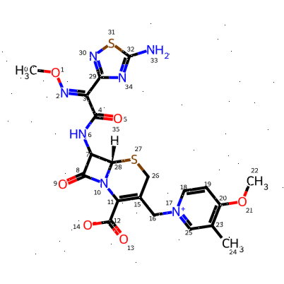 CON=C(C(=O)NC1C(=O)N2C(C(=O)[O-])=C(C[n+]3ccc(OC)c(C)c3)CS[C@@H]12)c1nsc(N)n1